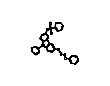 O=S(=O)(Oc1ccc2c(c1)c1cc(OSOOc3ccccc3)ccc1[s+]2-c1ccccc1)c1ccccc1